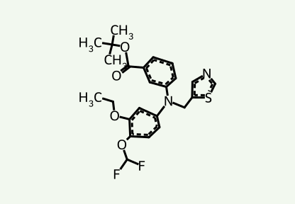 CCOc1cc(N(Cc2cncs2)c2cccc(C(=O)OC(C)(C)C)c2)ccc1OC(F)F